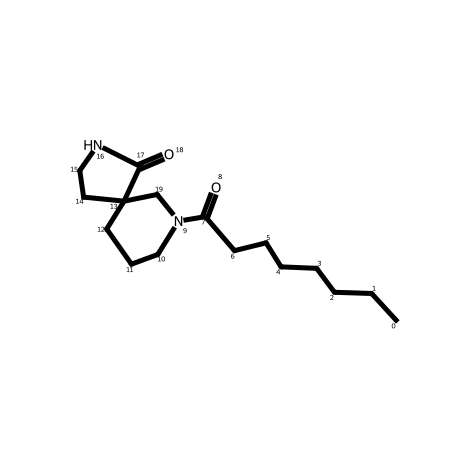 CCCCCCCC(=O)N1CCCC2(CCNC2=O)C1